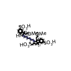 COCC[N+]1=C(/C=C/C=C/C=C/C=C2/Nc3ccc(S(=O)(=O)O)cc3C2(C)CCOC)C(C)(CCCS(=O)(=O)O)c2cc(S(=O)(=O)O)ccc21